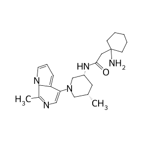 Cc1ncc(N2C[C@@H](C)C[C@@H](NC(=O)CC3(N)CCCCC3)C2)c2cccnc12